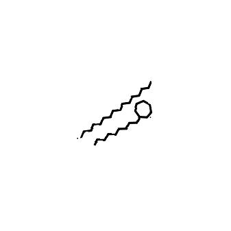 CCCCCCCCCC1[CH]CCCCC1.[CH2]CCCCCCCCCCCCCCC